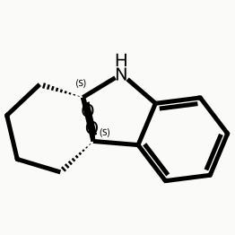 c1ccc2c(c1)N[C@]13CCCC[C@]21OCCO3